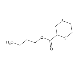 CCCCOC(=O)C1CSCCS1